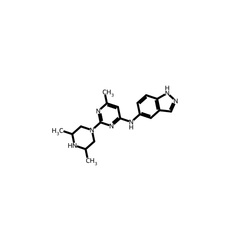 Cc1cc(Nc2ccc3[nH]ncc3c2)nc(N2CC(C)NC(C)C2)n1